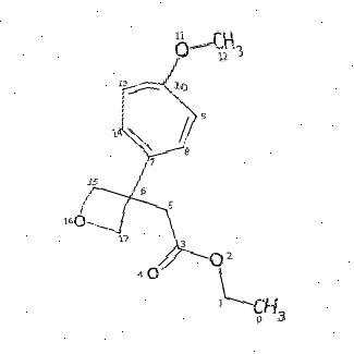 CCOC(=O)CC1(c2ccc(OC)cc2)COC1